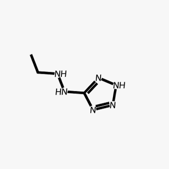 CCNNc1nn[nH]n1